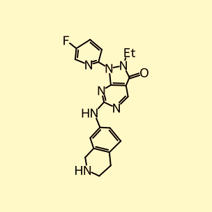 CCn1c(=O)c2cnc(Nc3ccc4c(c3)CNCC4)nc2n1-c1ccc(F)cn1